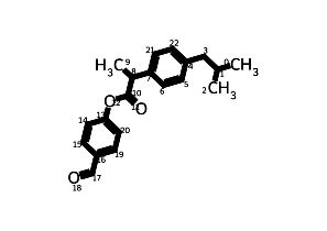 CC(C)Cc1ccc(C(C)C(=O)Oc2ccc(C=O)cc2)cc1